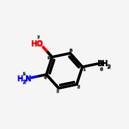 Bc1ccc(N)c(O)c1